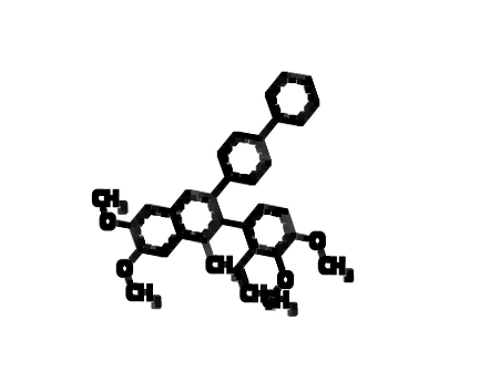 C=Cc1c(-c2c(-c3ccc(-c4ccccc4)cc3)cc3cc(OC)c(OC)cc3c2C)ccc(OC)c1OC